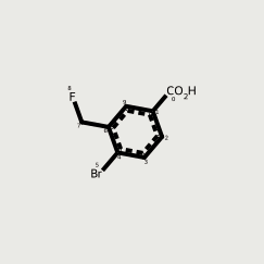 O=C(O)c1ccc(Br)c(CF)c1